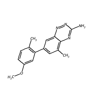 COc1ccc(C)c(-c2cc(C)c3nc(N)nnc3c2)c1